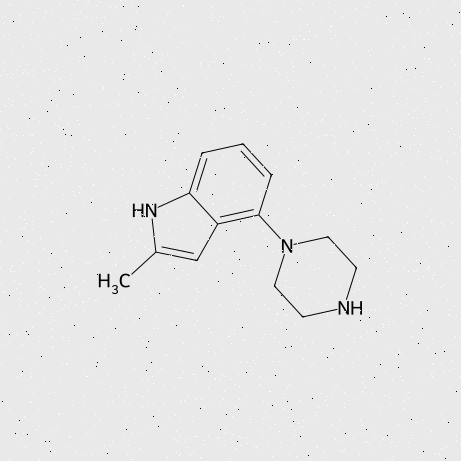 Cc1cc2c(N3CCNCC3)cccc2[nH]1